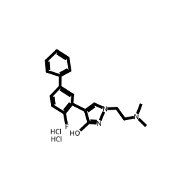 CN(C)CCn1cc(-c2cc(-c3ccccc3)ccc2F)c(O)n1.Cl.Cl